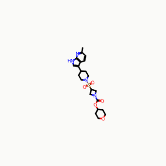 Cc1ccc2c(C3CCN(S(=O)(=O)C4CN(C(=O)OC5CCOCC5)C4)CC3)c[nH]c2n1